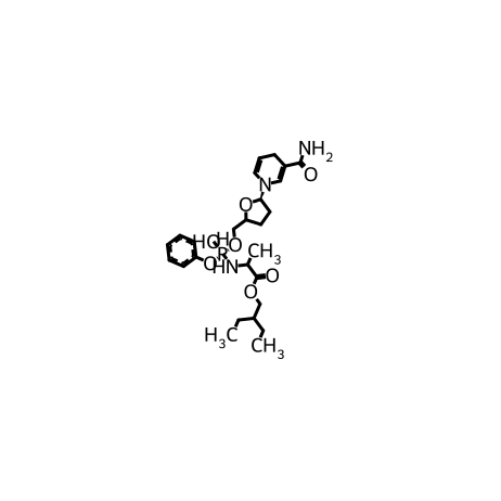 CCC(CC)COC(=O)C(C)N[PH](O)(OCC1CC[C@H](N2C=CCC(C(N)=O)=C2)O1)Oc1ccccc1